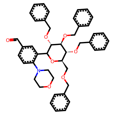 O=Cc1ccc(N2CCOCC2)c(C2O[C@H](COCc3ccccc3)[C@@H](OCc3ccccc3)[C@H](OCc3ccccc3)[C@H]2OCc2ccccc2)c1